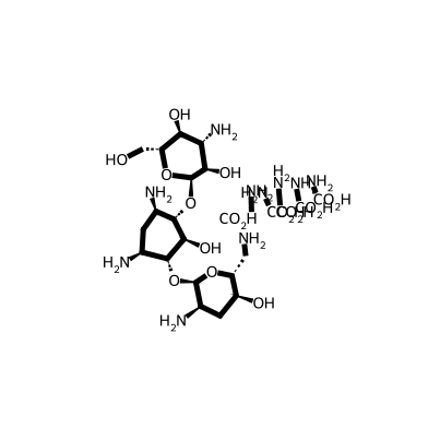 NC(=O)O.NC(=O)O.NC(=O)O.NC(=O)O.NC(=O)O.NC[C@H]1O[C@H](O[C@H]2[C@H](O)[C@@H](O[C@H]3O[C@H](CO)[C@@H](O)[C@H](N)[C@H]3O)[C@H](N)C[C@@H]2N)[C@H](N)C[C@@H]1O